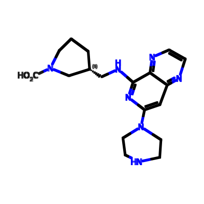 O=C(O)N1CCC[C@H](CNc2nc(N3CCNCC3)cc3nccnc23)C1